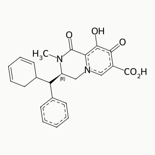 CN1C(=O)c2c(O)c(=O)c(C(=O)O)cn2C[C@H]1C(c1ccccc1)C1C=CC=CC1